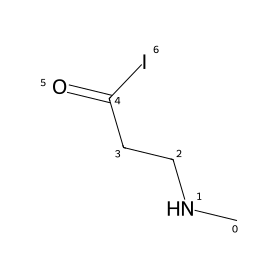 CNCCC(=O)I